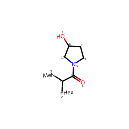 CCCCCCC(NC)C(=O)N1CCC(O)C1